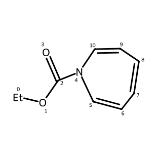 CCOC(=O)N1C=CC=CC=C1